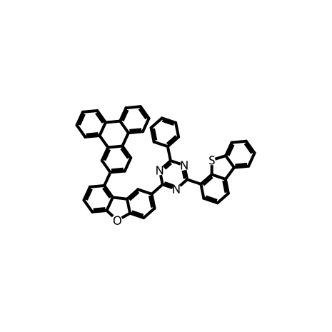 c1ccc(-c2nc(-c3ccc4oc5cccc(-c6ccc7c8ccccc8c8ccccc8c7c6)c5c4c3)nc(-c3cccc4c3sc3ccccc34)n2)cc1